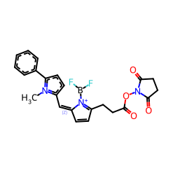 Cn1c(/C=C2/C=CC(CCC(=O)ON3C(=O)CCC3=O)=[N+]2B(F)F)ccc1-c1ccccc1